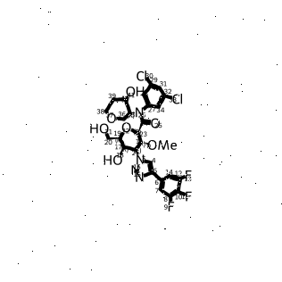 CO[C@@H]1[C@@H](n2cc(-c3cc(F)c(F)c(F)c3)nn2)[C@@H](O)[C@@H](CO)O[C@H]1C(=O)N(c1cc(Cl)cc(Cl)c1)[C@@H]1COCC[C@H]1O